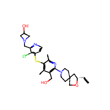 C=C[C@H]1CC2(CCN(c3nc(C)c(Sc4ccnc(CN5CC(O)C5)c4Cl)c(C)c3CO)CC2)CO1